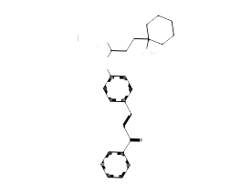 CC1(CCC(Oc2ccc(/C=C/C(=O)c3ccccc3)cc2)C(=O)O)CCCCC1